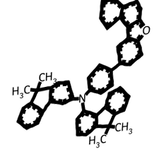 CC1(C)c2ccccc2-c2cc(N(c3ccc(-c4ccc5oc6ccc7ccccc7c6c5c4)cc3)c3cccc4c3-c3ccccc3C4(C)C)ccc21